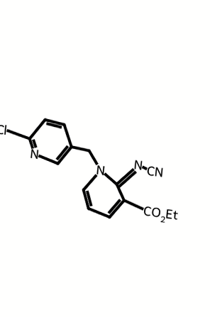 CCOC(=O)c1cccn(Cc2ccc(Cl)nc2)/c1=N/C#N